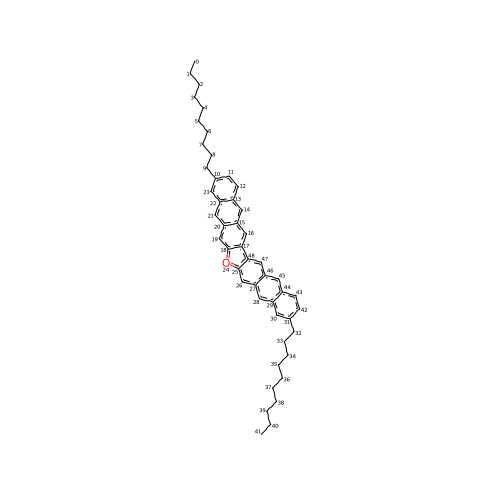 CCCCCCCCCCc1ccc2cc3cc4c(cc3cc2c1)oc1cc2cc3cc(CCCCCCCCCC)ccc3cc2cc14